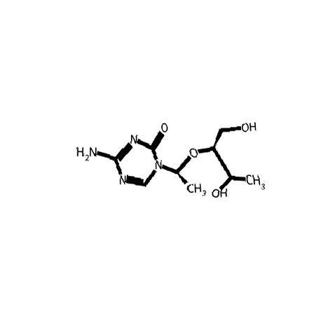 CC(O)[C@H](CO)O[C@@H](C)n1cnc(N)nc1=O